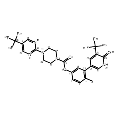 Cc1ccc(OC(=O)N2CCN(c3ncc(C(F)(F)F)cn3)CC2)cc1-c1c[nH]c(=O)c(C(F)(F)F)c1